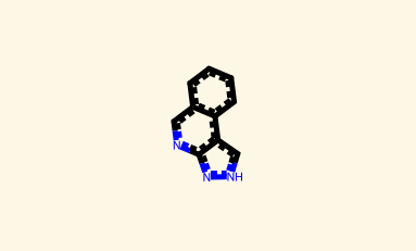 c1ccc2c(c1)cnc1n[nH]cc12